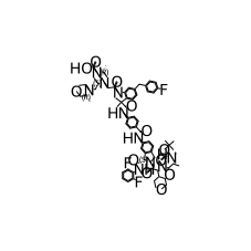 CC(C(=O)NC(C(=O)N1Cc2ccc(NC(=O)c3ccc(NC(=O)C4(C)CN(C(=O)CN5C[C@@H](C)N(C(=O)O)C[C@@H]5CN5CCOC[C@H]5C)c5cc(Cc6ccc(F)cc6)ccc54)cc3)cc2[C@H]1C(=O)Nc1c(F)cccc1F)C1CCOCC1)N(C)C(=O)OC(C)(C)C